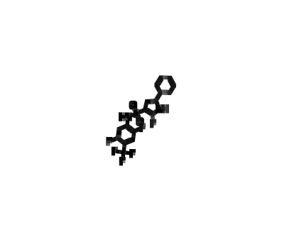 O=S(=O)(Nc1cc(F)c(C(F)(F)F)cc1F)c1cc(-c2ccccc2)[nH]c1F